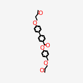 O=C(Oc1ccc(COCC2CO2)cc1)c1ccc(-c2ccc(OCCC3CO3)cc2)cc1